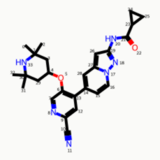 CC1(C)CC(Oc2cnc(C#N)cc2-c2ccn3nc(NC(=O)C4CC4)cc3c2)CC(C)(C)N1